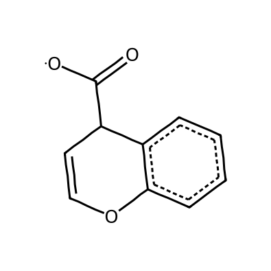 [O]C(=O)C1C=COc2ccccc21